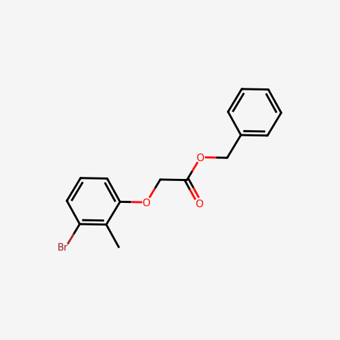 Cc1c(Br)cccc1OCC(=O)OCc1ccccc1